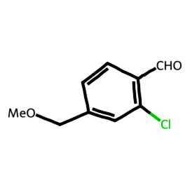 COCc1ccc(C=O)c(Cl)c1